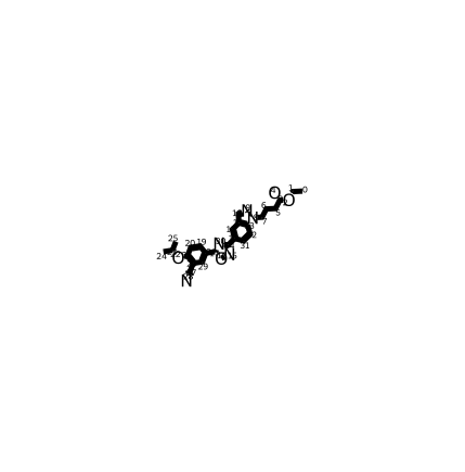 CCOC(=O)CCCn1ncc2cc(-c3noc(-c4ccc(OC(C)C)c(C#N)c4)n3)ccc21